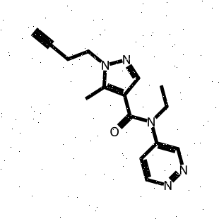 C#CCCn1ncc(C(=O)N(CC)c2ccnnc2)c1C